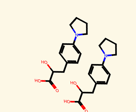 O=C(O)C(O)Cc1ccc(N2CCCC2)cc1.O=C(O)C(O)Cc1ccc(N2CCCC2)cc1